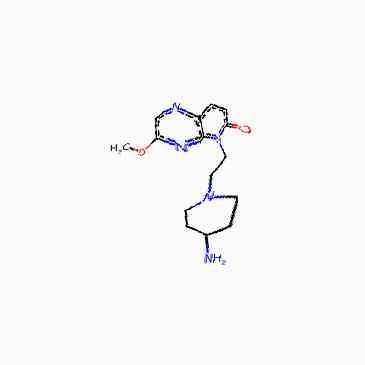 COc1cnc2ccc(=O)n(CCN3CCC(N)CC3)c2n1